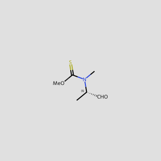 COC(=S)N(C)[C@@H](C)C=O